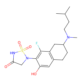 CC(C)CCN(C)C1CCc2cc(O)c(N3CC(=O)NS3(=O)=O)c(F)c2C1